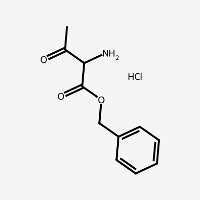 CC(=O)C(N)C(=O)OCc1ccccc1.Cl